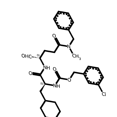 CN(Cc1ccccc1)C(=O)CC[C@@H](C=O)NC(=O)[C@H](CC1CCCCC1)NC(=O)OCc1cccc(Cl)c1